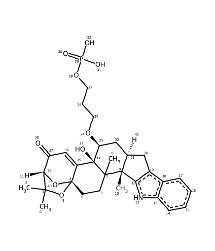 CC1(C)O[C@@]23CCC4(C)[C@@]5(C)c6[nH]c7ccccc7c6C[C@@H]5C[C@H](OCCCOP(=O)(O)O)[C@@]4(O)C2=CC(=O)[C@@H]1O3